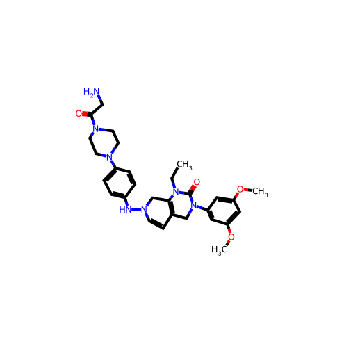 CCN1C(=O)N(c2cc(OC)cc(OC)c2)CC2=C1CN(Nc1ccc(N3CCN(C(=O)CN)CC3)cc1)C=C2